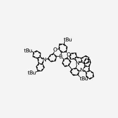 CC(C)(C)c1cc2c3c(c1)Oc1cc(-n4c5ccc(C(C)(C)C)cc5c5cc(C(C)(C)C)ccc54)ccc1B3c1ccc(-c3ccc(C(C)(C)C)c(-n4c5ccccc5c5ccccc54)c3-n3c4ccccc4c4ccccc43)cc1O2